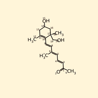 CC(=O)/C=C/C=C(C)/C=C/C1=C(C)CC(O)C[C@]1(C)CO